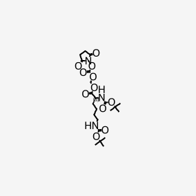 CC(C)(C)OC(=O)NCCCC[C@H](NC(=O)OC(C)(C)C)C(=O)OCOC(=O)ON1C(=O)CCC1=O